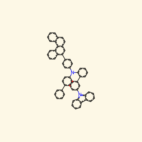 c1ccc(-c2ccc(N(c3ccc(-c4cc5ccc6ccccc6c5c5ccccc45)cc3)c3ccccc3-c3cccc(-n4c5ccccc5c5ccccc54)c3)cc2)cc1